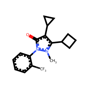 Cn1c(C2CCC2)c(C2CC2)c(=O)n1-c1ccccc1C(F)(F)F